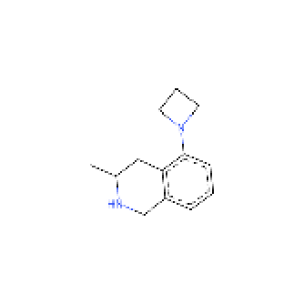 CC1Cc2c(cccc2N2CCC2)CN1